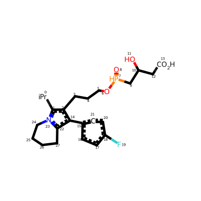 CC(C)c1c(CCCO[PH](=O)CC(O)CC(=O)O)c(-c2ccc(F)cc2)c2n1CCCC2